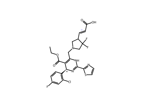 CCOC(=O)C1=C(CN2CC(/C=C/C(=O)O)C(F)(F)C2)NC(c2nccs2)=N[C@H]1c1ccc(F)cc1Cl